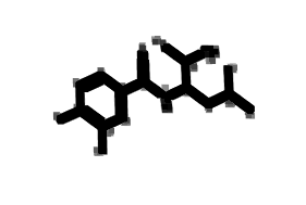 Cc1ccc(C(=O)NC(CC(C)C)C(O)I)cc1C